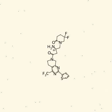 N[C@H](CC(=O)N1CCc2c(nc(-c3cccs3)nc2C(F)(F)F)C1)CN1CC(F)(F)CCC1=O